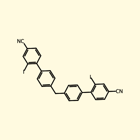 N#Cc1ccc(-c2ccc(Cc3ccc(-c4ccc(C#N)cc4I)cc3)cc2)c(I)c1